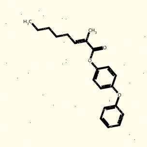 CCCCCC=C(C)C(=O)Oc1ccc(Oc2ccccc2)cc1